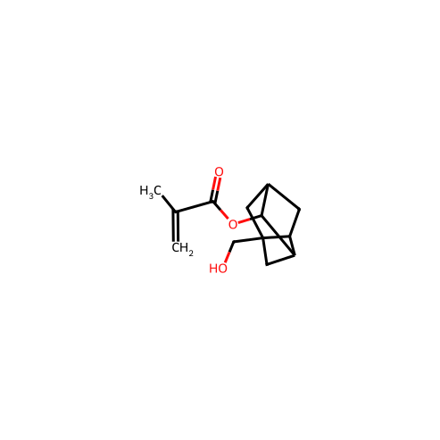 C=C(C)C(=O)OC1C2CC3C1CC3(CO)C2